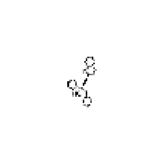 O[C@@](C#Cc1ccc2ccccc2n1)(Cc1ccccc1)c1ccccc1